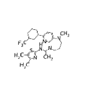 C=C(Nc1nc(C)c(C)s1)N1CCCN(C)c2ccc(C3CCCC(C(F)(F)F)C3)nc21